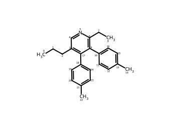 CCCc1[c]nc(CC)c(-c2ccc(C)cc2)c1-c1ccc(C)cc1